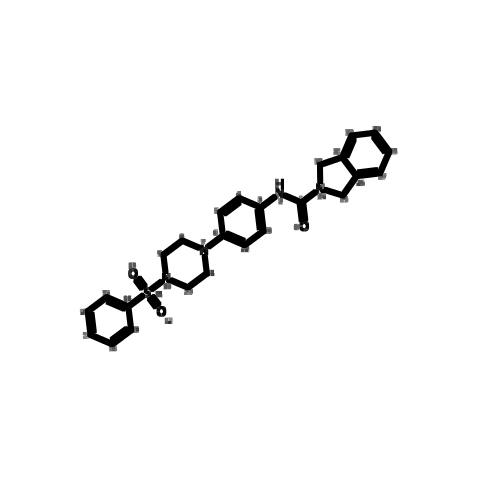 O=C(Nc1ccc(N2CCN(S(=O)(=O)c3ccccc3)CC2)cc1)N1Cc2ccccc2C1